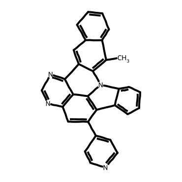 Cc1c2ccccc2cc2c3ncnc4cc(-c5ccncc5)c5c6ccccc6n(c12)c5c43